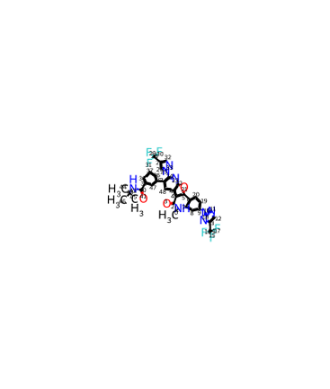 CNC(=O)c1c(-c2ccc(-n3ncc(C(F)(F)F)n3)cc2)oc2nc(-n3cc(C(F)(F)F)cn3)c(-c3cccc(C(=O)NC(C)(C)C)c3)cc12